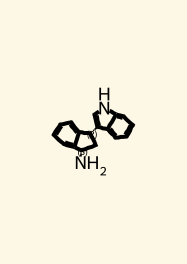 N[C@H]1C[C@@H](c2c[nH]c3ccccc23)c2ccccc21